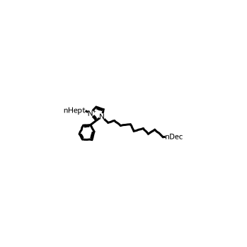 CCCCCCCCCCCCCCCCCCCn1cc[n+](CCCCCCC)c1-c1ccccc1